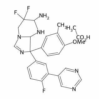 CC(=O)O.COc1ccc(C2(c3ccc(F)c(-c4cncnc4)c3)N=CN3CC(F)(F)C(N)NC32)cc1C